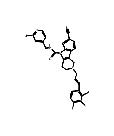 N#Cc1ccc2c3c(n(C(=O)NCc4ccnc(Cl)c4)c2c1)CCN(CC=Cc1ccc(F)c(F)c1F)C3